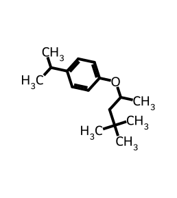 CC(CC(C)(C)C)Oc1ccc(C(C)C)cc1